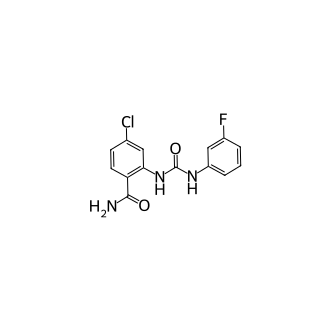 NC(=O)c1ccc(Cl)cc1NC(=O)Nc1cccc(F)c1